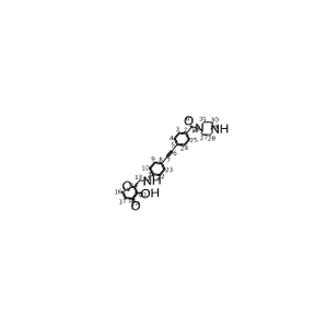 O=C(c1ccc(C#Cc2ccc(NCc3occc(=O)c3O)cc2)cc1)N1CCNCC1